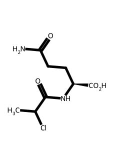 CC(Cl)C(=O)N[C@@H](CCC(N)=O)C(=O)O